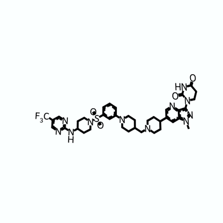 Cn1nc(N2CCC(=O)NC2=O)c2ncc(C3CCN(CC4CCN(c5cccc(S(=O)(=O)N6CCC(Nc7ncc(C(F)(F)F)cn7)CC6)c5)CC4)CC3)cc21